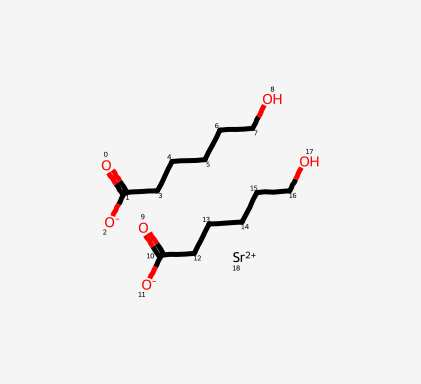 O=C([O-])CCCCCO.O=C([O-])CCCCCO.[Sr+2]